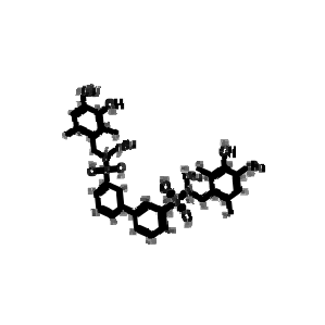 CCCCN(Cc1c(C)cc(C(C)(C)C)c(O)c1C)S(=O)(=O)c1cccc(-c2cccc(S(=O)(=O)N(CCCC)Cc3c(C)cc(C(C)(C)C)c(O)c3C)c2)c1